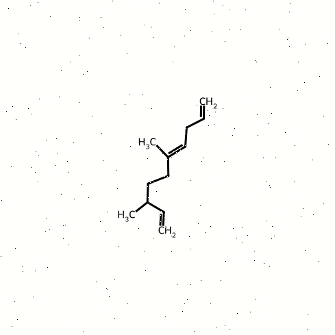 C=CC/C=C(\C)CCC(C)C=C